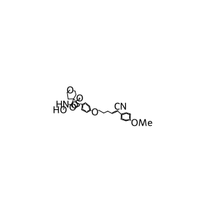 COc1ccc(C(C#N)=CCCCOc2ccc(S(=O)(=O)C3(C(=O)NO)CCOCC3)cc2)cc1